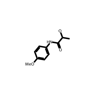 COc1ccc(NC(=O)C(C)[O])cc1